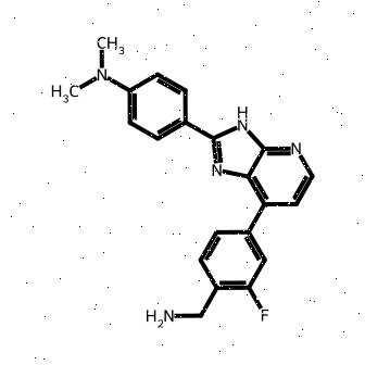 CN(C)c1ccc(-c2nc3c(-c4ccc(CN)c(F)c4)ccnc3[nH]2)cc1